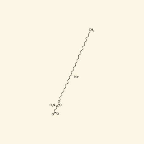 CCCCCCCCCCCCCCCCCCCCCCCCCCCCCCCCCCOC(=O)[C@@H](N)CCC(=O)[O-].[Na+]